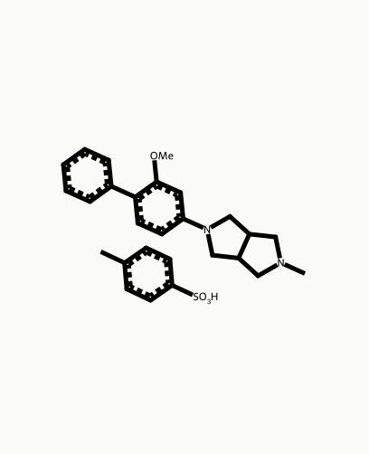 COc1cc(N2CC3CN(C)CC3C2)ccc1-c1ccccc1.Cc1ccc(S(=O)(=O)O)cc1